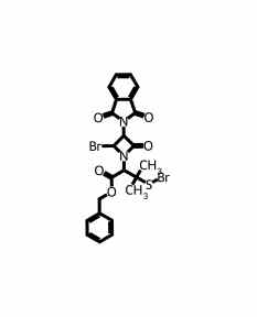 CC(C)(SBr)C(C(=O)OCc1ccccc1)N1C(=O)C(N2C(=O)c3ccccc3C2=O)C1Br